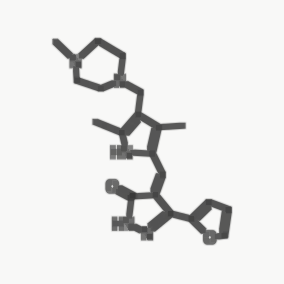 Cc1[nH]c(C=C2C(=O)NN=C2c2ccco2)c(C)c1CN1CCN(C)CC1